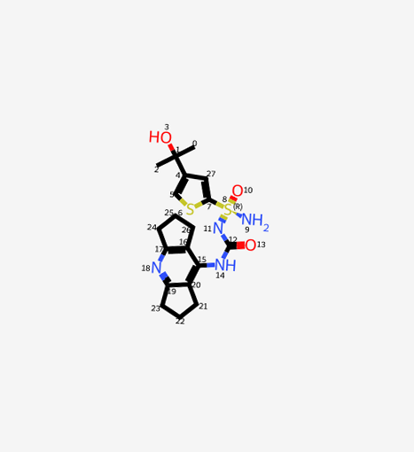 CC(C)(O)c1csc([S@](N)(=O)=NC(=O)Nc2c3c(nc4c2CCC4)CCC3)c1